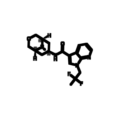 CN1[C@@H]2COC[C@H]1C[C@@H](NC(=O)c1cn(CC(C)(F)F)c3ncccc13)C2